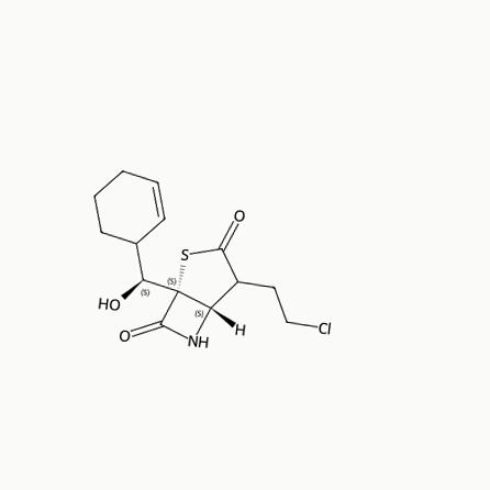 O=C1S[C@@]2([C@@H](O)C3C=CCCC3)C(=O)N[C@H]2C1CCCl